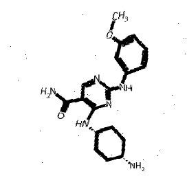 COc1cccc(Nc2ncc(C(N)=O)c(N[C@H]3CC[C@@H](N)CC3)n2)c1